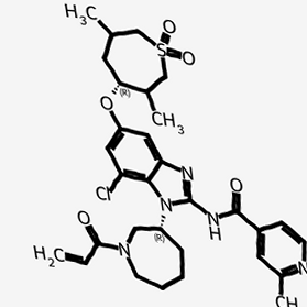 C=CC(=O)N1CCCC[C@@H](n2c(NC(=O)c3ccnc(C)c3)nc3cc(O[C@@H]4CC(C)CS(=O)(=O)CC4C)cc(Cl)c32)C1